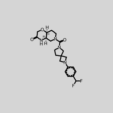 O=C1CO[C@H]2CCN(C(=O)N3CCC4(C3)CN(c3ccc(C(F)F)cc3)C4)C[C@H]2N1